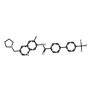 Cc1cc2cc(CN3CCCC3)cnc2cc1NC(=O)c1ccc(-c2ccc(C(F)(F)F)cc2)cc1